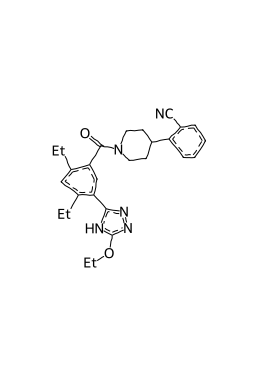 CCOc1nnc(-c2cc(C(=O)N3CCC(c4ccccc4C#N)CC3)c(CC)cc2CC)[nH]1